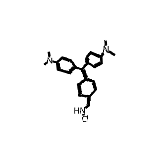 CN(C)c1ccc(C(c2ccc(N(C)C)cc2)=c2ccc(=CNCl)cc2)cc1